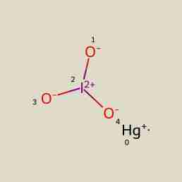 [Hg+].[O-][I+2]([O-])[O-]